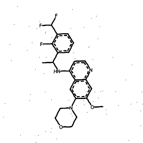 COc1cc2nccc(NC(C)c3cccc(C(F)F)c3F)c2cc1N1CCOCC1